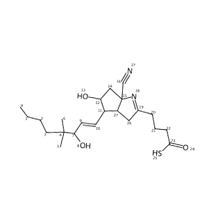 CCCCC(C)(C)C(O)/C=C/C1C(O)CC2(C#N)N=C(CCCC(=O)S)CC12